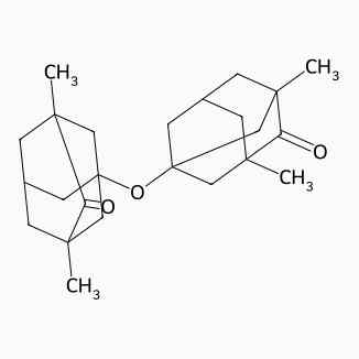 CC12CC3CC(OC45CC6CC(C)(C4)C(=O)C(C)(C6)C5)(C1)CC(C)(C3)C2=O